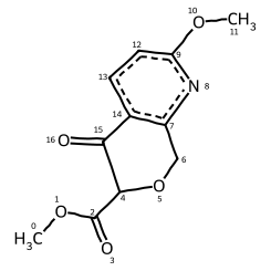 COC(=O)C1OCc2nc(OC)ccc2C1=O